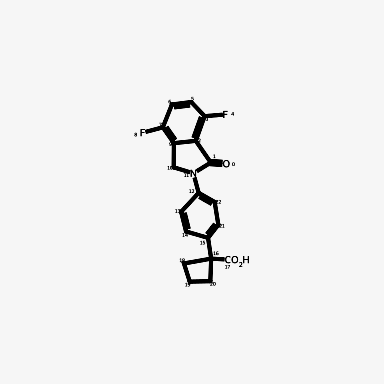 O=C1c2c(F)ccc(F)c2CN1c1ccc(C2(C(=O)O)CCC2)cc1